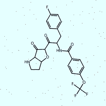 O=C(NC(Cc1ccc(F)cc1)C(=O)C1OC2CCNC2C1=O)c1ccc(OC(F)(F)F)cc1